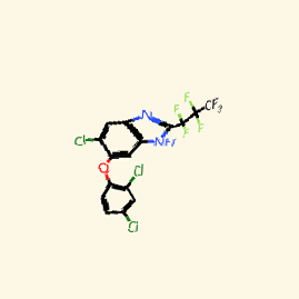 FC(F)(F)C(F)(F)C(F)(F)c1nc2cc(Cl)c(Oc3ccc(Cl)cc3Cl)cc2[nH]1